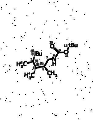 CC[C@H](C)[C@H](C)[C@@H](C)[C@H](C)CNC(=O)OC(C)(C)C